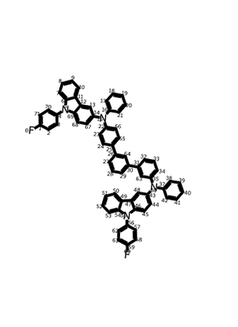 Fc1ccc(-n2c3ccccc3c3cc(N(c4ccccc4)c4ccc(-c5cccc(-c6cccc(N(c7ccccc7)c7ccc8c(c7)c7ccccc7n8-c7ccc(F)cc7)c6)c5)cc4)ccc32)cc1